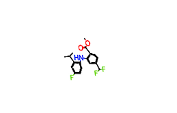 COC(=O)c1ccc(C(F)F)cc1Nc1ccc(F)cc1C(C)C